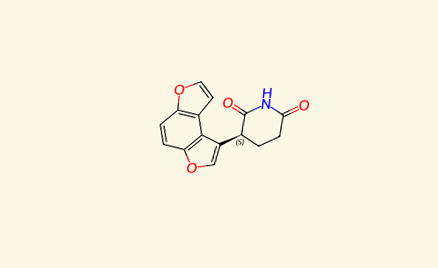 O=C1CC[C@@H](c2coc3ccc4occc4c23)C(=O)N1